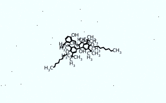 CCCCCCCCOc1c(C(C)(C)C)cc(C(O)(c2cc(C(C)(C)C)c(OCCCCCCCC)c(C(C)(C)C)c2)C(N=Cc2cc(C#N)ccc2O)C(C)C)cc1C(C)(C)C